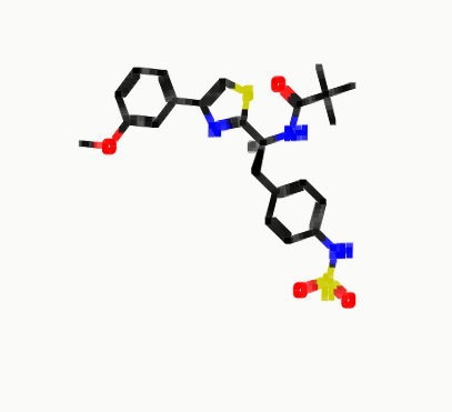 COc1cccc(-c2csc([C@H](Cc3ccc(N[SH](=O)=O)cc3)NC(=O)C(C)(C)C)n2)c1